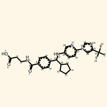 O=C(O)CCNC(=O)c1ccc(C(Nc2ccc(-n3cnc(C(F)(F)F)c3)nc2)C2CCCC2)cc1